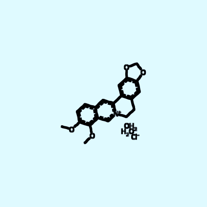 COc1ccc2cc3[n+](cc2c1OC)CCc1cc2c(cc1-3)OCO2.O.O.[Cl-]